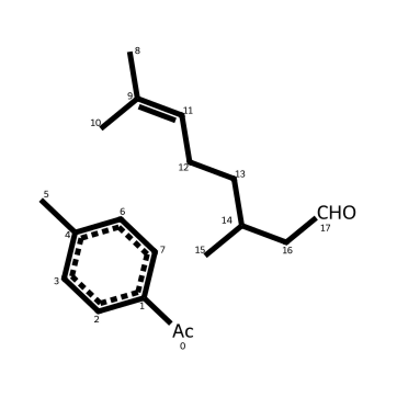 CC(=O)c1ccc(C)cc1.CC(C)=CCCC(C)CC=O